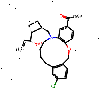 C=C[C@@H](O)[C@@H]1CC[C@H]1CN1CCCCc2cc(Cl)ccc2COc2ccc(C(=O)OCC(C)C)cc21